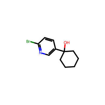 OC1(c2ccc(Br)nc2)CCCCC1